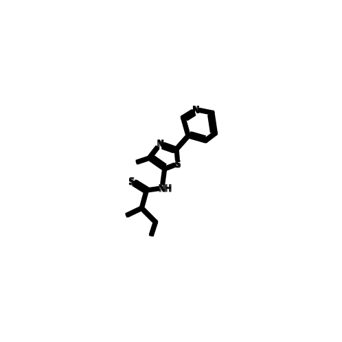 CCC(C)C(=S)Nc1sc(-c2cccnc2)nc1C